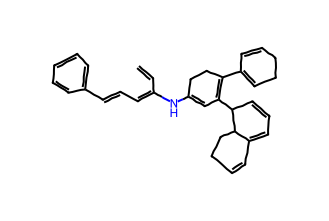 C=C/C(=C\C=C\c1ccccc1)NC1=CC(C2C=CC=C3C=CCCC32)=C(C2=CCCC=C2)CC1